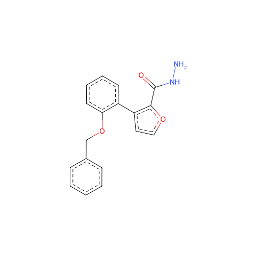 NNC(=O)c1occc1-c1ccccc1OCc1ccccc1